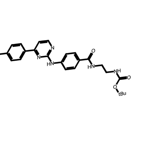 CC(C)(C)OC(=O)NCCNC(=O)c1ccc(Nc2nccc(-c3ccc(Cl)cc3)n2)cc1